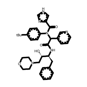 CC(C)(C)c1ccc(N(C(=O)c2c[nH]cn2)C(C(=O)N[C@@H](Cc2ccccc2)[C@@H](O)CN2CCOCC2)c2cccnc2)cc1